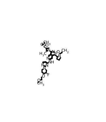 C=CC(=O)N1CCCC1c1nnc(N2C[C@H](CS(C)(=O)=O)[C@H]2C)c2cnc(Nc3ccnc(N4CC[C@@H](OCCOC)[C@@H](F)C4)n3)cc12